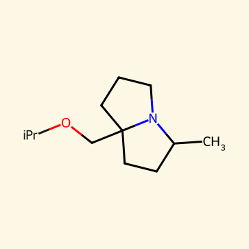 CC(C)OCC12CCCN1C(C)CC2